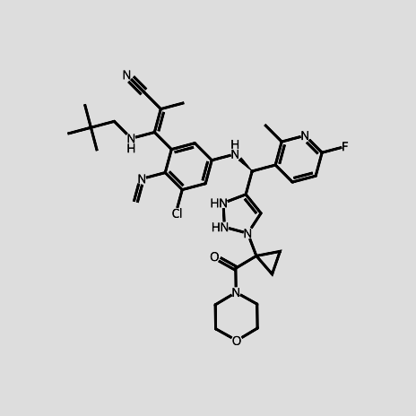 C=Nc1c(Cl)cc(N[C@H](C2=CN(C3(C(=O)N4CCOCC4)CC3)NN2)c2ccc(F)nc2C)cc1/C(NCC(C)(C)C)=C(\C)C#N